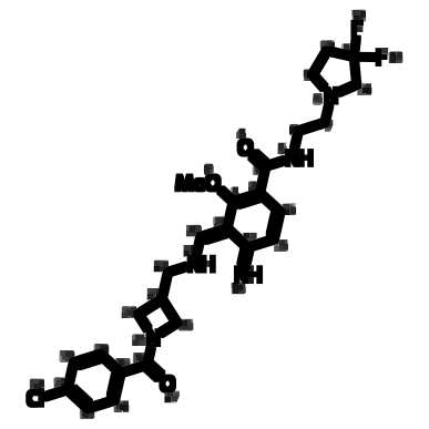 COC1=C(C(=O)NCCN2CCC(F)(F)C2)C=CC(=N)/C1=C\NCC1CN(C(=O)c2ccc(Cl)cc2)C1